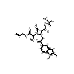 C=CCOC(=O)C(O)N1C(=O)[C@H]([C@@H](C)O[Si](C)(C)C(C)(C)C)[C@H]1CC(=O)c1ccc2c(c1)cc(C)n2C